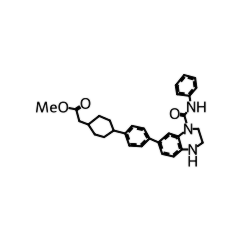 COC(=O)CC1CCC(c2ccc(-c3ccc4c(c3)N(C(=O)Nc3ccccc3)CCN4)cc2)CC1